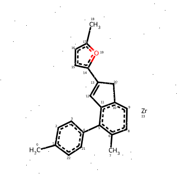 Cc1ccc(-c2c(C)ccc3c2C=C(c2ccc(C)o2)[CH]3)cc1.[Zr]